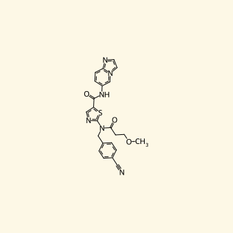 COCCC(=O)N(Cc1ccc(C#N)cc1)c1ncc(C(=O)Nc2ccc3nccn3c2)s1